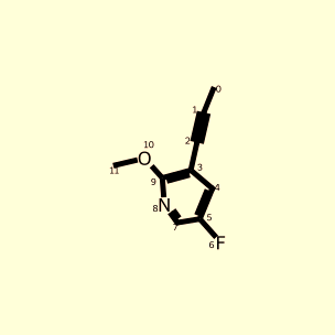 CC#Cc1cc(F)cnc1OC